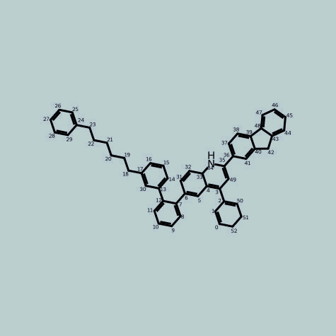 C1=CC(C2=C3C=C(c4ccccc4-c4cccc(CCCCCCc5ccccc5)c4)C=CC3NC(c3ccc4c(c3)Cc3ccccc3-4)=C2)=CCC1